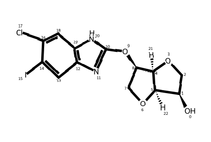 O[C@@H]1CO[C@H]2[C@@H]1OC[C@H]2Oc1nc2cc(I)c(Cl)cc2[nH]1